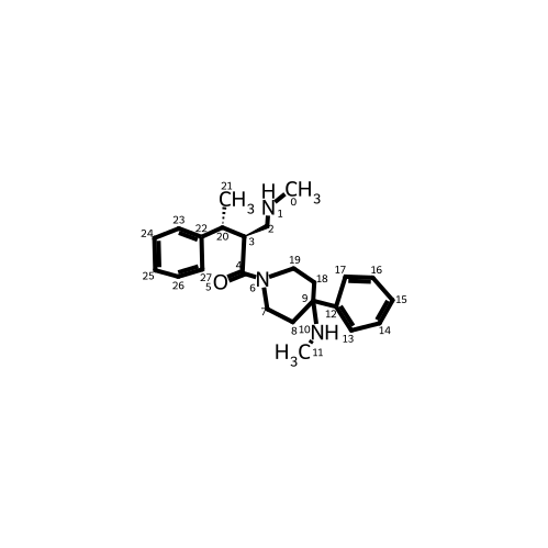 CNC[C@@H](C(=O)N1CCC(NC)(c2ccccc2)CC1)[C@@H](C)c1ccccc1